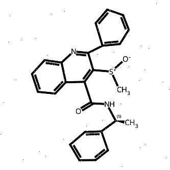 C[C@H](NC(=O)c1c([S+](C)[O-])c(-c2ccccc2)nc2ccccc12)c1ccccc1